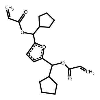 C=CC(=O)OC(c1ccc(C(OC(=O)C=C)C2CCCC2)o1)C1CCCC1